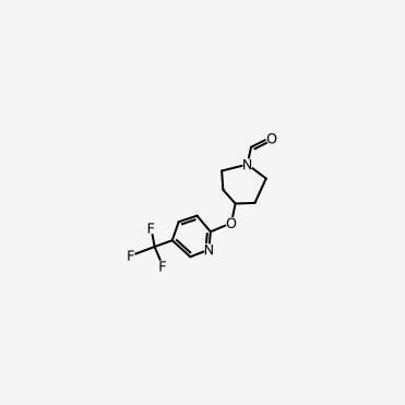 O=CN1CCC(Oc2ccc(C(F)(F)F)cn2)CC1